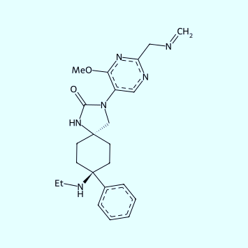 C=NCc1ncc(N2C[C@]3(CC[C@@](NCC)(c4ccccc4)CC3)NC2=O)c(OC)n1